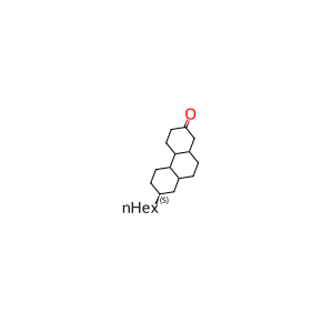 CCCCCC[C@H]1CCC2C(CCC3CC(=O)CCC32)C1